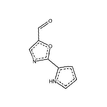 O=Cc1cnc(-c2ccc[nH]2)o1